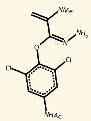 C=C(NC)/C(=N\N)Oc1c(Cl)cc(NC(C)=O)cc1Cl